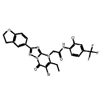 CCc1c(Br)c(=O)n2nc(-c3ccc4c(c3)CCO4)nc2n1CC(=O)Nc1ccc(C(F)(F)F)cc1Cl